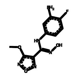 Bc1cc(N/C(=N\O)c2nonc2OC)ccc1F